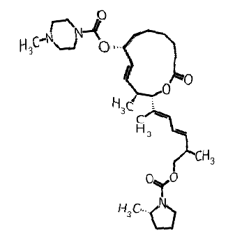 C/C(=C\C=C\C(C)COC(=O)N1CCC[C@@H]1C)[C@H]1OC(=O)CCCCC[C@@H](OC(=O)N2CCN(C)CC2)/C=C/[C@@H]1C